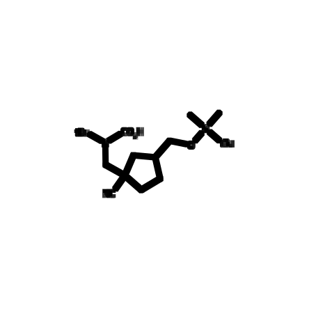 CC(C)(C)N(CC1(C#N)CCC(CO[Si](C)(C)C(C)(C)C)C1)C(=O)O